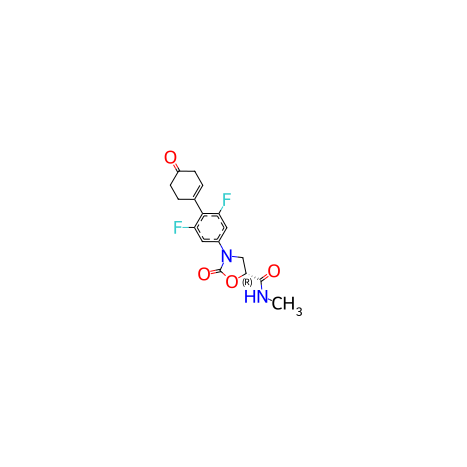 CNC(=O)[C@H]1CN(c2cc(F)c(C3=CCC(=O)CC3)c(F)c2)C(=O)O1